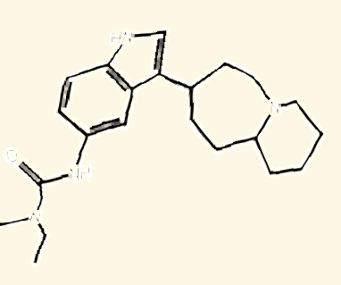 CCN(C)C(=O)Nc1ccc2[nH]cc(C3CCC4CCCCN4CC3)c2c1